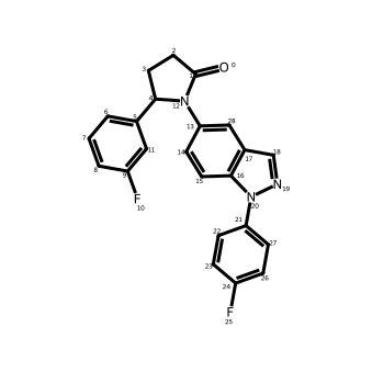 O=C1CCC(c2cccc(F)c2)N1c1ccc2c(cnn2-c2ccc(F)cc2)c1